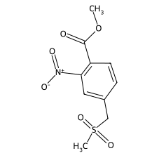 COC(=O)c1ccc(CS(C)(=O)=O)cc1[N+](=O)[O-]